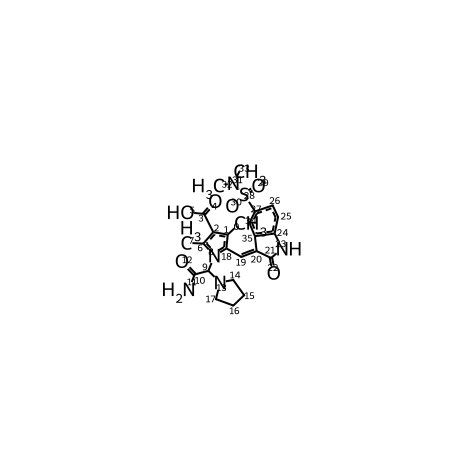 Cc1c(C(=O)O)c(C)n(C(C(N)=O)N2CCCC2)c1C=C1C(=O)Nc2ccc(S(=O)(=O)N(C)C)cc21